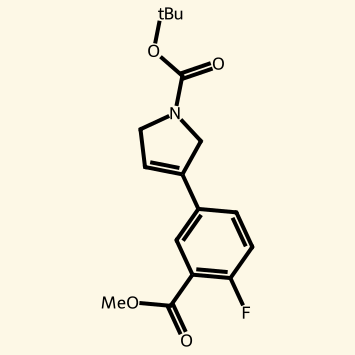 COC(=O)c1cc(C2=CCN(C(=O)OC(C)(C)C)C2)ccc1F